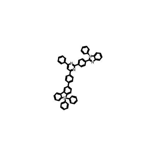 c1ccc(-c2cc(-c3ccc(-c4ccc5c(c4)-c4ccccc4[Si]5(c4ccccc4)c4ccccc4)cc3)nc(-c3ccc(-c4nc5ccccc5n4-c4ccccc4)cc3)n2)cc1